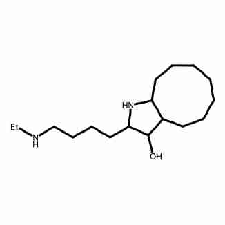 CCNCCCCC1NC2CCCCCCCC2C1O